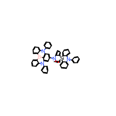 c1ccc(N2c3ccccc3[Si]3(c4ccccc42)c2ccccc2N(c2cc4c5c(c2)N(c2ccccc2)c2ccccc2B5c2ccccc2N4c2ccccc2)c2ccccc23)cc1